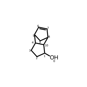 OC1CCC2C3C=CC(C3)C12